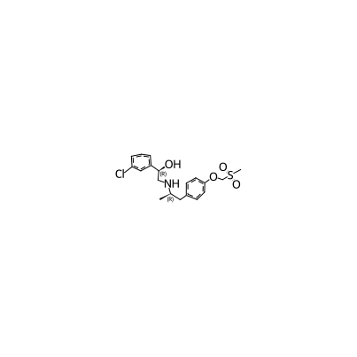 C[C@H](Cc1ccc(OCS(C)(=O)=O)cc1)NC[C@H](O)c1cccc(Cl)c1